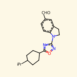 CC(C)C1CCC(c2nc(N3CCc4cc(C=O)ccc43)no2)CC1